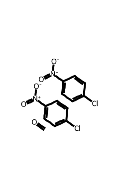 C=O.O=[N+]([O-])c1ccc(Cl)cc1.O=[N+]([O-])c1ccc(Cl)cc1